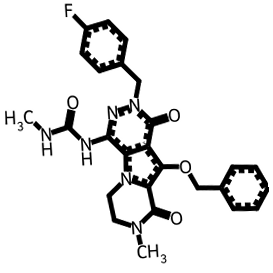 CNC(=O)Nc1nn(Cc2ccc(F)cc2)c(=O)c2c(OCc3ccccc3)c3n(c12)CCN(C)C3=O